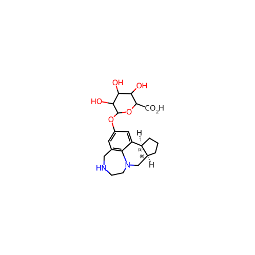 O=C(O)C1OC(Oc2cc3c4c(c2)[C@H]2CCC[C@H]2CN4CCNC3)C(O)C(O)C1O